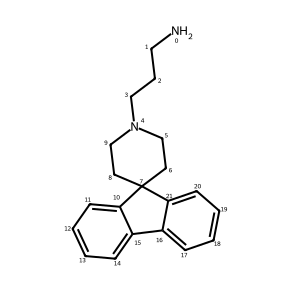 NCCCN1CCC2(CC1)c1ccccc1-c1ccccc12